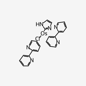 [Cl][Os][c]1ncc[nH]1.c1ccc(-c2ccccn2)nc1.c1ccc(-c2ccccn2)nc1